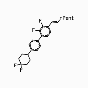 CCCCC/C=C/c1ccc(-c2ccc(C3CCC(F)(F)CC3)cc2)c(F)c1F